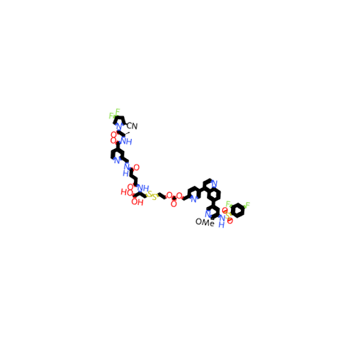 COc1ncc(-c2ccc3nccc(-c4ccc(COC(=O)OCCSSCC(NC(=O)CCC(=O)NCc5cc(C(=O)N[C@@H](C)C(=O)N6CC(F)(F)C[C@H]6C#N)ccn5)C(O)O)nc4)c3c2)cc1NS(=O)(=O)c1ccc(F)cc1F